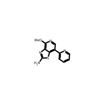 COc1ncc(-c2ccccn2)c2sc(N)nc12